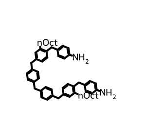 CCCCCCCCc1cc(Cc2ccc(Cc3ccc(Cc4ccc(Cc5ccc(N)cc5)c(CCCCCCCC)c4)cc3)cc2)ccc1Cc1ccc(N)cc1